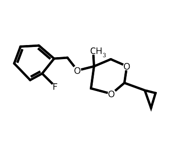 CC1(OCc2ccccc2F)COC(C2CC2)OC1